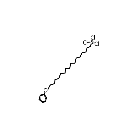 Cl[Si](Cl)(Cl)CCCCCCCCCCCCCCCCCOc1ccccc1